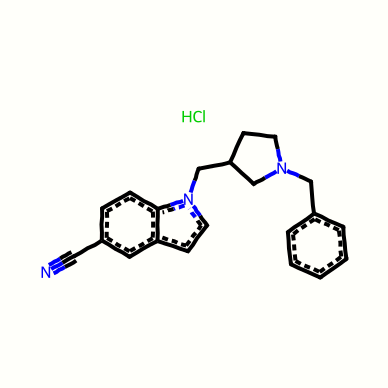 Cl.N#Cc1ccc2c(ccn2CC2CCN(Cc3ccccc3)C2)c1